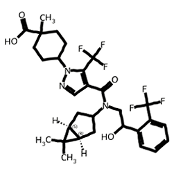 CC1(C(=O)O)CCC(n2ncc(C(=O)N(CC(O)c3ccccc3C(F)(F)F)C3C[C@@H]4[C@H](C3)C4(C)C)c2C(F)(F)F)CC1